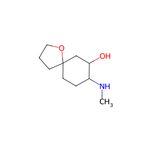 CNC1CCC2(CCCO2)CC1O